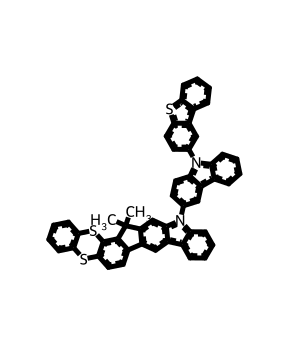 CC1(C)c2cc3c(cc2-c2ccc4c(c21)Sc1ccccc1S4)c1ccccc1n3-c1ccc2c(c1)c1ccccc1n2-c1ccc2sc3ccccc3c2c1